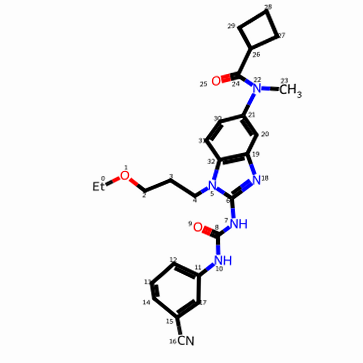 CCOCCCn1c(NC(=O)Nc2cccc(C#N)c2)nc2cc(N(C)C(=O)C3CCC3)ccc21